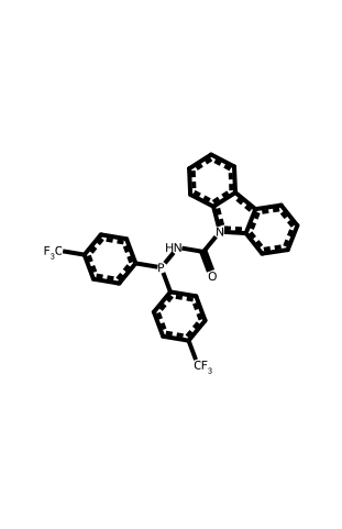 O=C(NP(c1ccc(C(F)(F)F)cc1)c1ccc(C(F)(F)F)cc1)n1c2ccccc2c2ccccc21